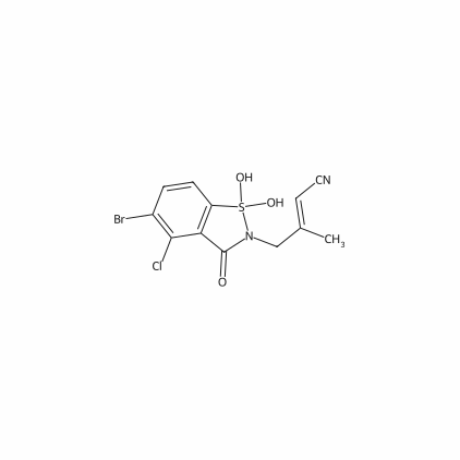 CC(=CC#N)CN1C(=O)c2c(ccc(Br)c2Cl)S1(O)O